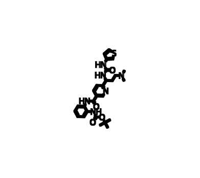 CN(C)CCC(NC(=O)Nc1ccsc1)c1ccc(C(=O)Nc2ccccc2NC(=O)OC(C)(C)C)cn1